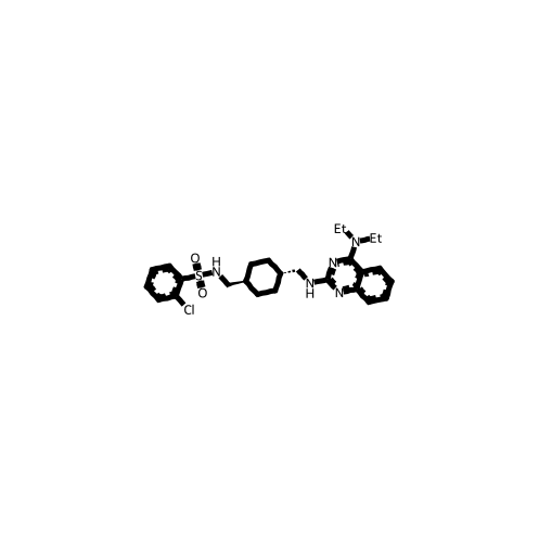 CCN(CC)c1nc(NC[C@H]2CC[C@H](CNS(=O)(=O)c3ccccc3Cl)CC2)nc2ccccc12